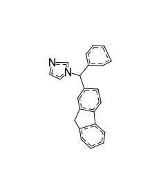 c1ccc(C(c2ccc3c(c2)Cc2ccccc2-3)n2ccnc2)cc1